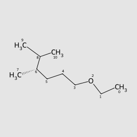 CCOCCC[C@H](C)C(C)C